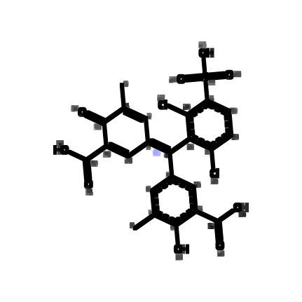 CC1=C/C(=C(/c2cc(C)c(O)c(C(=O)O)c2)c2c(Cl)ccc(S(=O)(=O)O)c2Cl)C=C(C(=O)O)C1=O